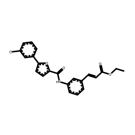 CCOC(=O)/C=C/c1cccc(NC(=O)c2ccc(-c3cccc(Cl)c3)o2)c1